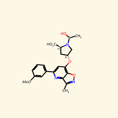 COc1cccc(-c2cc(O[C@@H]3C[C@@H](C(=O)O)N(B(C)O)C3)c3onc(C)c3n2)c1